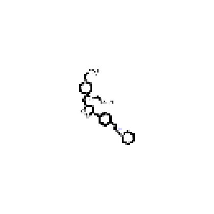 O=C(O)COC1(CC2CC(c3ccc(/C=N/N4CCCCC4)cc3)=NO2)CCN(CC(=O)O)CC1